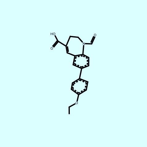 CCOc1ccc(-c2ccc3c(c2)C=C(C(=O)O)CCN3C=O)cc1